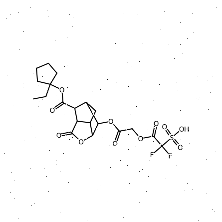 CCC1(OC(=O)C2C3CC4C(OC(=O)C42)C3OC(=O)COC(=O)C(F)(F)S(=O)(=O)O)CCCC1